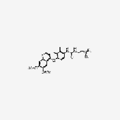 CCN(CC)CCNC(=O)Nc1ccc(Oc2ccnc3cc(OC)c(OC)cc23)c(C)c1C